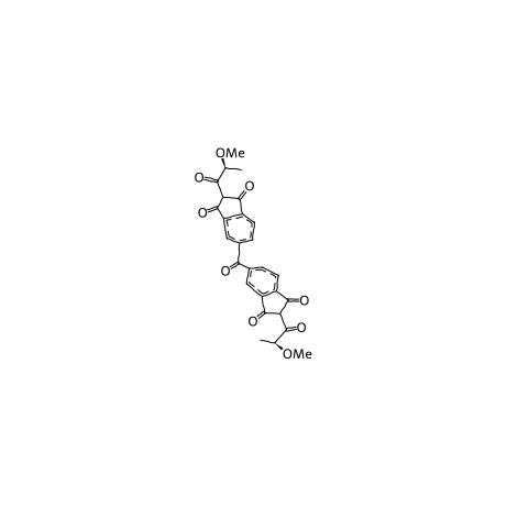 CO[C@@H](C)C(=O)C1C(=O)c2ccc(C(=O)c3ccc4c(c3)C(=O)C(C(=O)[C@H](C)OC)C4=O)cc2C1=O